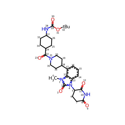 Cn1c(=O)n(C2CCC(=O)NC2=O)c2cccc(C3CCN(C(=O)C4CCC(NC(=O)OC(C)(C)C)CC4)CC3)c21